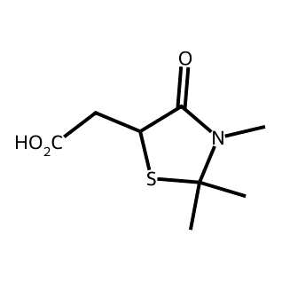 CN1C(=O)C(CC(=O)O)SC1(C)C